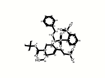 CC(C)(C)OC(=O)N1C[C@H](N(OCc2ccccc2)S(=O)(=O)c2ccccc2[N+](=O)[O-])C(CC[N+](=O)[O-])=C[C@@H]1CO